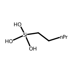 [CH2]CCCC[Si](O)(O)O